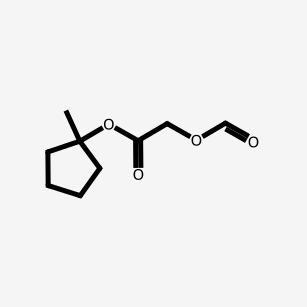 CC1(OC(=O)COC=O)CCCC1